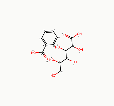 O=C(O)C(O)C(O)C(O)C(O)CO.O=C(O)c1ccccc1